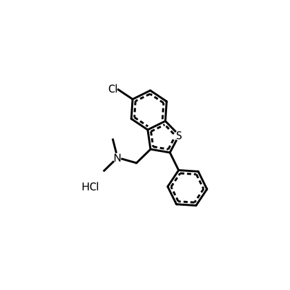 CN(C)Cc1c(-c2ccccc2)sc2ccc(Cl)cc12.Cl